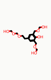 OCOCOCCc1cc(COCO)c(O)c(COCO)c1